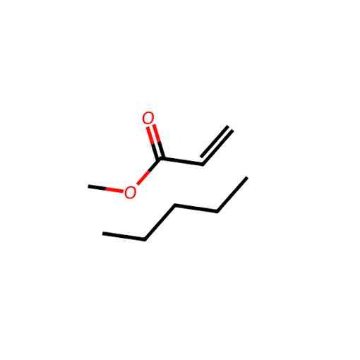 C=CC(=O)OC.CCCCC